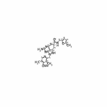 COc1c(C)cnc(CN2NC3CC(C(=O)NCc4ccc(C)o4)Sc4nc(N)nc2c43)c1C